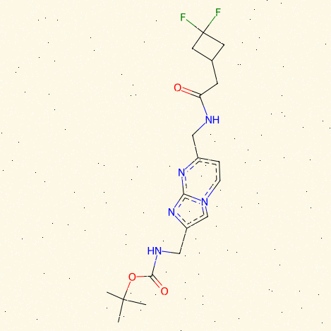 CC(C)(C)OC(=O)NCc1cn2ccc(CNC(=O)CC3CC(F)(F)C3)nc2n1